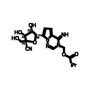 CC(C)C(=O)OCn1cnn2c([C@@H]3O[C@](C#N)(CO)[C@@H](O)[C@H]3O)ccc2c1=N